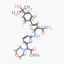 COC(=O)C(c1cccc(Nc2sc(-c3c(F)cc(C(C)(C)O)cc3F)cc2C(N)=O)n1)N1CCOCC1